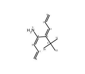 C=C/C=C(\C(N)=C/C=C)C(C)(C)C